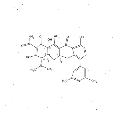 Cc1cc(-c2ccc(O)c3c2C[C@H]2C[C@H]4[C@H](N(C)C)C(O)=C(C(N)=O)C(=O)[C@@]4(O)C(N)=C2C3=O)cc(C)n1